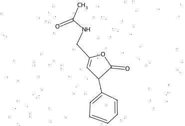 CC(=O)NCC1=CC(c2ccccc2)C(=O)O1